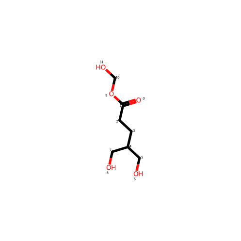 O=C(CCC(CO)CO)OCO